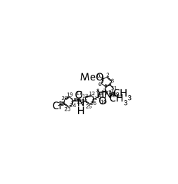 COc1ccc2c(c1)C(=CC(=O)c1ccc(NC(=O)c3ccc(Cl)cc3)cc1)NC(C)(C)C2